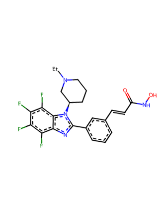 CCN1CCC[C@@H](n2c(-c3cccc(/C=C/C(=O)NO)c3)nc3c(F)c(F)c(F)c(F)c32)C1